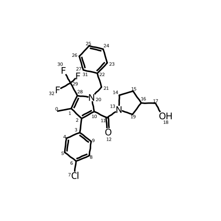 Cc1c(-c2ccc(Cl)cc2)c(C(=O)N2CCC(CO)C2)n(Cc2ccccc2)c1C(F)(F)F